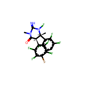 CN1C(=N)N(F)[C@](C)(c2c(F)ccc(F)c2F)[C@@H](c2c(F)c(F)c([S])c(F)c2F)C1=O